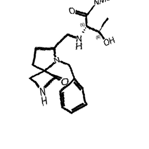 CNC(=O)[C@@H](NCC1CCC2(CNC2=O)N1Cc1ccccc1)[C@@H](C)O